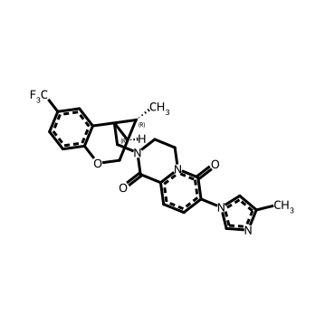 Cc1cn(-c2ccc3n(c2=O)CCN(CC24c5cc(C(F)(F)F)ccc5OC[C@@H]2[C@H]4C)C3=O)cn1